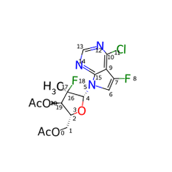 CC(=O)OC[C@H]1O[C@@H](n2cc(F)c3c(Cl)ncnc32)[C@](C)(F)[C@@H]1OC(C)=O